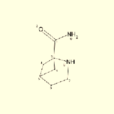 NC(=O)C12CC(CCN1)C2